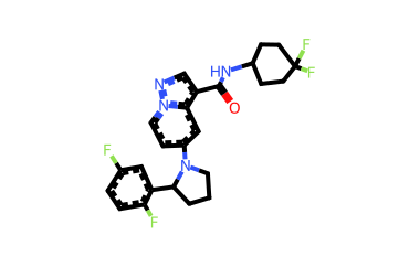 O=C(NC1CCC(F)(F)CC1)c1cnn2ccc(N3CCCC3c3cc(F)ccc3F)cc12